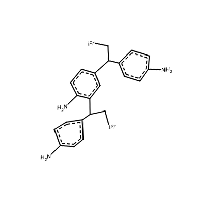 CC(C)CC(c1ccc(N)cc1)c1ccc(N)c(C(CC(C)C)c2ccc(N)cc2)c1